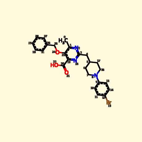 Cc1nc(CC2CCN(c3ccc(Br)cc3)CC2)nc(C(=O)O)c1OCc1ccccc1